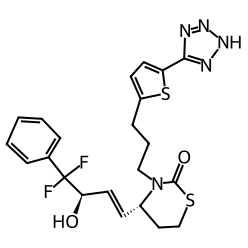 O=C1SCC[C@H](/C=C/[C@@H](O)C(F)(F)c2ccccc2)N1CCCc1ccc(-c2nn[nH]n2)s1